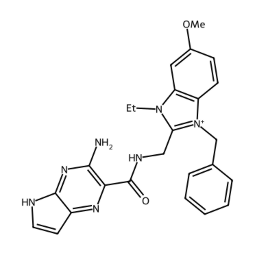 CCn1c(CNC(=O)c2nc3cc[nH]c3nc2N)[n+](Cc2ccccc2)c2ccc(OC)cc21